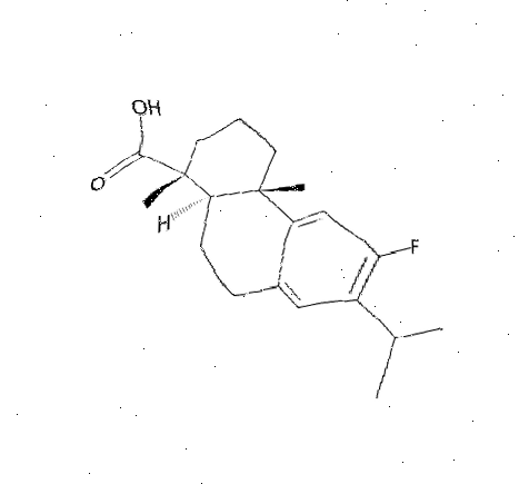 CC(C)c1cc2c(cc1F)[C@@]1(C)CCC[C@@](C)(C(=O)O)[C@@H]1CC2